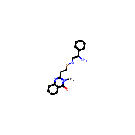 Cn1c(CCSN/C=C(\N)c2ccccc2)nc2ccccc2c1=O